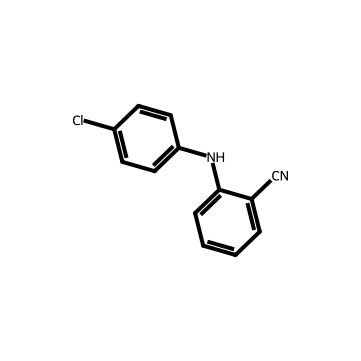 N#Cc1ccccc1Nc1ccc(Cl)cc1